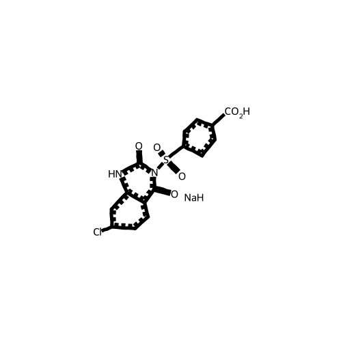 O=C(O)c1ccc(S(=O)(=O)n2c(=O)[nH]c3cc(Cl)ccc3c2=O)cc1.[NaH]